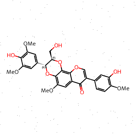 COc1ccc(-c2coc3c4c(c(OC)cc3c2=O)O[C@H](c2cc(OC)c(O)c(OC)c2)[C@@H](CO)O4)cc1O